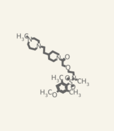 COc1cc(C)c(S(=O)(=O)N(C)CCOCC(=O)N2CCC(CCN3CCCN(C)CC3)CC2)c(C)c1